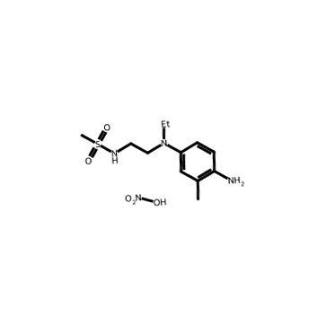 CCN(CCNS(C)(=O)=O)c1ccc(N)c(C)c1.O=[N+]([O-])O